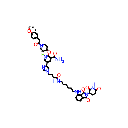 NC(=O)c1cc(-c2cn(CCCC(=O)NCCCCCCNc3cccc4c3C(=O)N(C3CCC(=O)NC3=O)C4=O)cn2)cnc1O[C@@H]1CCN(C(=O)Cc2ccc(OC(F)(F)F)cc2)C[C@H]1F